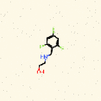 OCCNCc1c(F)cc(F)cc1F